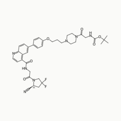 CC(C)(C)OC(=O)NCC(=O)N1CCN(CCCOc2ccc(-c3ccc4nccc(C(=O)NCC(=O)N5CC(F)(F)C[C@H]5C#N)c4c3)cc2)CC1